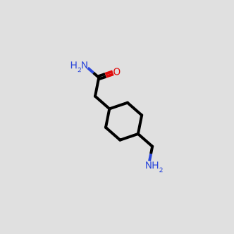 NCC1CCC(CC(N)=O)CC1